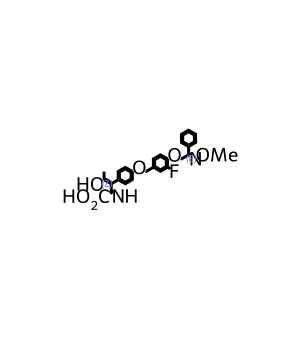 CO/N=C(/COc1ccc(COc2ccc(/C(C(=N)C(=O)O)=C(\C)O)cc2)cc1F)c1ccccc1